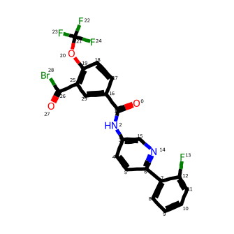 O=C(Nc1ccc(-c2ccccc2F)nc1)c1ccc(OC(F)(F)F)c(C(=O)Br)c1